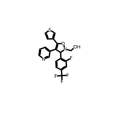 OCN1OC(c2ccsc2)=C(c2cccnc2)C1c1ccc(C(F)(F)F)cc1F